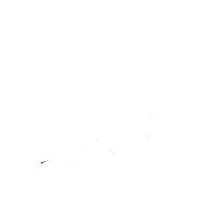 N[C@H]1CN(C(=O)NS(=O)(=O)NN=Cc2ccc(O)c(O)c2)C1=O